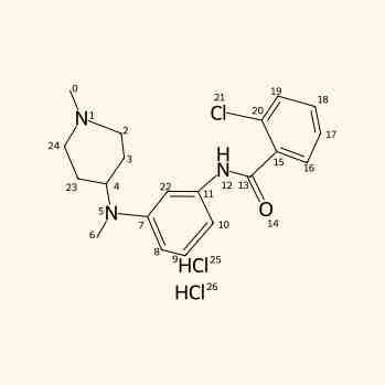 CN1CCC(N(C)c2cccc(NC(=O)c3ccccc3Cl)c2)CC1.Cl.Cl